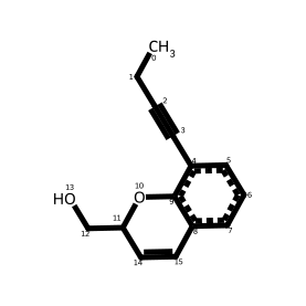 CCC#Cc1cccc2c1OC(CO)C=C2